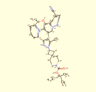 Cc1c(-c2cc(O[C@H](C)c3ccccn3)c3c(C#N)cnn3c2)cnn1C1CC2(CCN(C(=O)OC(C)(C)C)CC2)C1